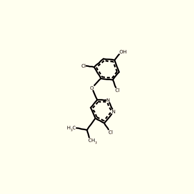 CC(C)c1cc(Oc2c(Cl)cc(O)cc2Cl)nnc1Cl